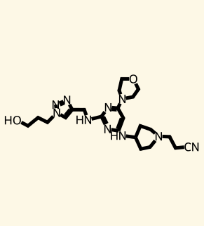 N#CCCN1CCC(Nc2cc(N3CCOCC3)nc(NCc3cn(CCCO)nn3)n2)CC1